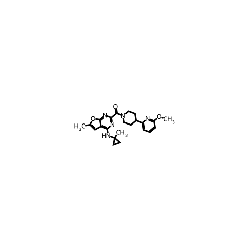 COc1cccc(C2CCN(C(=O)c3nc(NC4(C)CC4)c4cc(C)oc4n3)CC2)n1